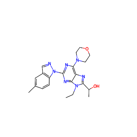 CCn1c(C(C)O)nc2c(N3CCOCC3)nc(-n3ncc4cc(C)ccc43)nc21